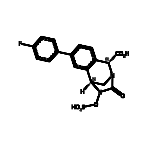 O=C(O)[C@H]1c2ccc(-c3ccc(F)cc3)cc2[C@H]2CN1C(=O)N2OS(=O)(=O)O